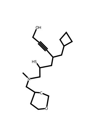 CN(CC(S)CC(C#CCO)CC1CCC1)CC1CCOCC1